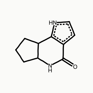 O=C1NC2CCCC2c2[nH]ccc21